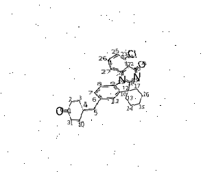 O=C1CCC(Cc2ccc3c(c2)C2(CCCCC2)c2nc(=O)c4c(Cl)cccc4n2-3)CC1